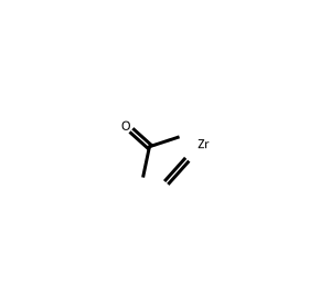 C=C.CC(C)=O.[Zr]